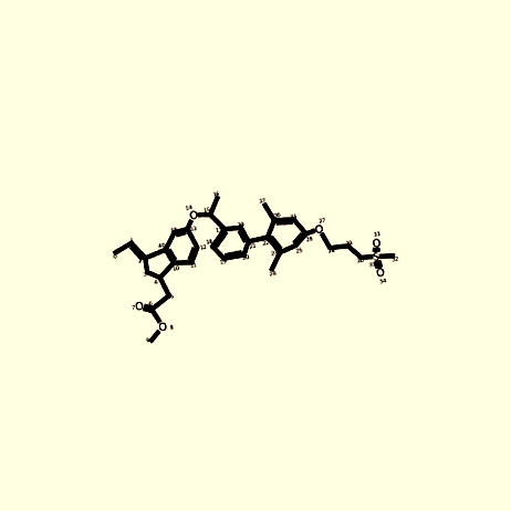 CC=C1CC(CC(=O)OC)c2ccc(OC(C)c3cccc(-c4c(C)cc(OCCCS(C)(=O)=O)cc4C)c3)cc21